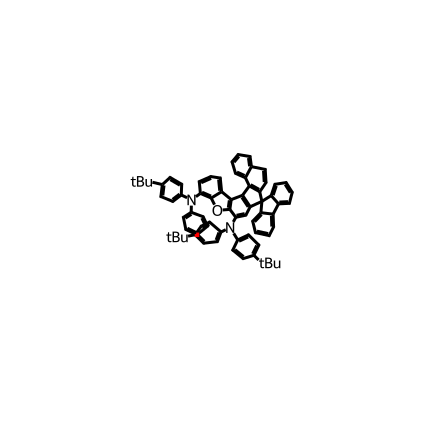 CC(C)(C)c1ccc(N(c2ccccc2)c2cccc3c2oc2c(N(c4ccc(C(C)(C)C)cc4)c4ccc(C(C)(C)C)cc4)cc4c(c23)-c2c(ccc3ccccc23)C42c3ccccc3-c3ccccc32)cc1